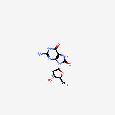 CC1O[C@@H](n2c(=O)[nH]c3c(=O)[nH]c(N)nc32)C[C@H]1O